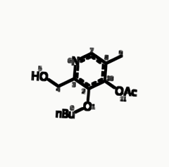 CCCCOc1c(CO)ncc(C)c1OC(C)=O